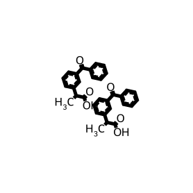 CC(C(=O)O)c1cccc(C(=O)c2ccccc2)c1.CC(C(=O)O)c1cccc(C(=O)c2ccccc2)c1